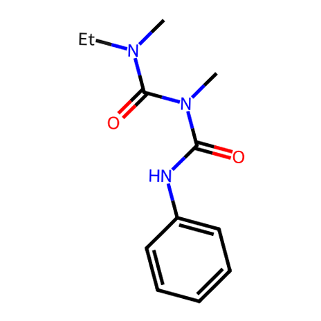 CCN(C)C(=O)N(C)C(=O)Nc1ccccc1